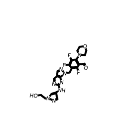 O=Cc1c(F)c(Cn2ncc3cnc(Nc4cnn(CCO)c4)nc32)c(F)c(F)c1N1CCOCC1